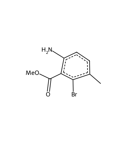 COC(=O)c1c(N)ccc(C)c1Br